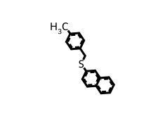 Cc1ccc(CSc2ccc3ccccc3c2)cc1